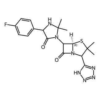 CC1(C)S[C@@H]2C(N3C(=O)C(c4ccc(F)cc4)NC3(C)C)C(=O)N2C1c1nnn[nH]1